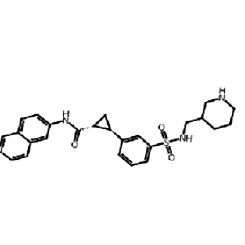 O=C(Nc1ccc2cnccc2c1)[C@@H]1C[C@H]1c1cccc(S(=O)(=O)NCC2CCCNC2)c1